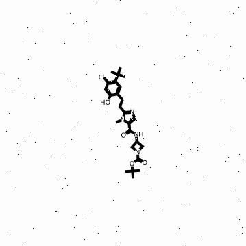 Cn1c(C(=O)NC2CN(C(=O)OC(C)(C)C)C2)cnc1CCc1cc(C(C)(C)C)c(Cl)cc1O